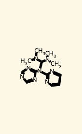 CN(C)C(N(C)C)N(c1ncccn1)c1ncncn1